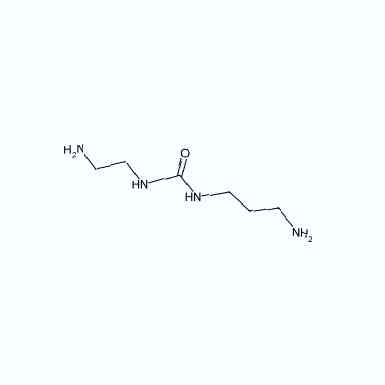 NCCCNC(=O)NCCN